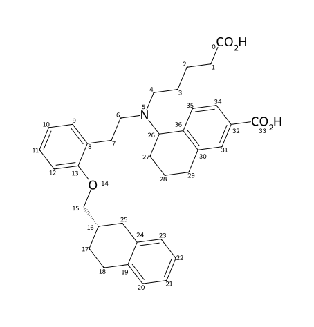 O=C(O)CCCCN(CCc1ccccc1OC[C@H]1CCc2ccccc2C1)C1CCCc2cc(C(=O)O)ccc21